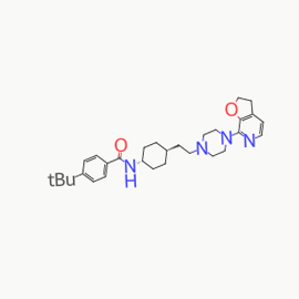 CC(C)(C)c1ccc(C(=O)N[C@H]2CC[C@H](CCN3CCN(c4nccc5c4OCC5)CC3)CC2)cc1